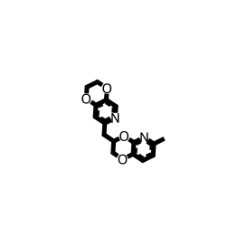 Cc1ccc2c(n1)OC(Cc1cc3c(cn1)OCCO3)CO2